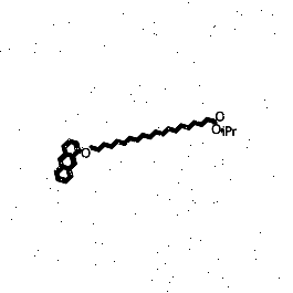 CC(C)OC(=O)CCCCCCCCCCCCCCCCCCCOc1cccc2cc3ccccc3cc12